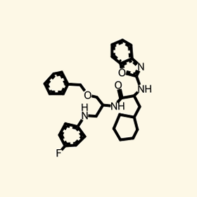 O=C(NC(CNc1ccc(F)cc1)COCc1ccccc1)C(CC1CCCCC1)Nc1nc2ccccc2o1